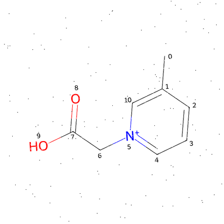 Cc1ccc[n+](CC(=O)O)c1